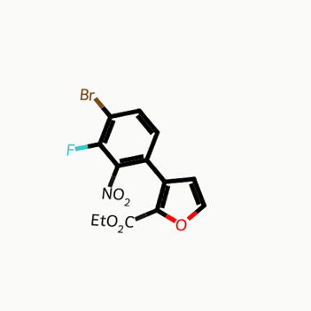 CCOC(=O)c1occc1-c1ccc(Br)c(F)c1[N+](=O)[O-]